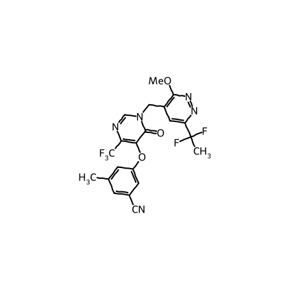 COc1nnc(C(C)(F)F)cc1Cn1cnc(C(F)(F)F)c(Oc2cc(C)cc(C#N)c2)c1=O